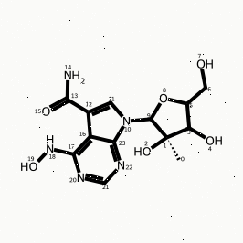 C[C@@]1(O)C(O)C(CO)OC1n1cc(C(N)=O)c2c(NO)ncnc21